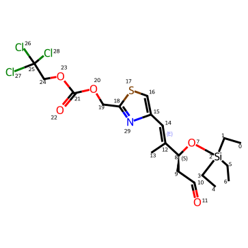 CC[Si](CC)(CC)O[C@@H](CC=O)/C(C)=C/c1csc(COC(=O)OCC(Cl)(Cl)Cl)n1